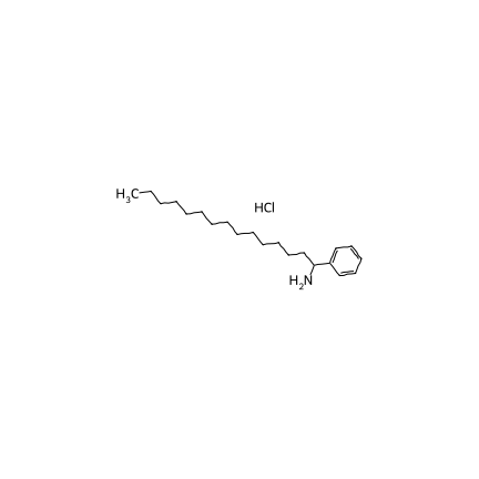 CCCCCCCCCCCCCCC(N)c1ccccc1.Cl